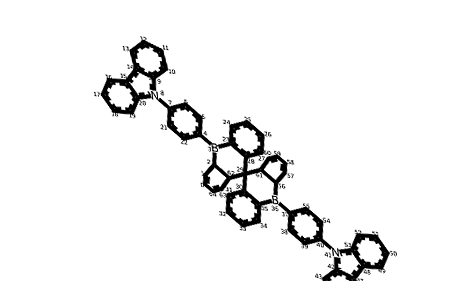 C1=CC2B(c3ccc(-n4c5ccccc5c5ccccc54)cc3)c3ccccc3C3(c4ccccc4B(c4ccc(-n5c6ccccc6c6ccccc65)cc4)C4C=CC=CC43)C2C=C1